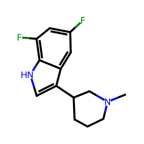 CN1CCCC(c2c[nH]c3c(F)cc(F)cc23)C1